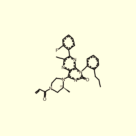 C=CC(=O)N1CCN(c2nc(=O)n(-c3ccccc3CCC)c3nc(-c4ccccc4F)c(C)nc23)[C@@H](C)C1